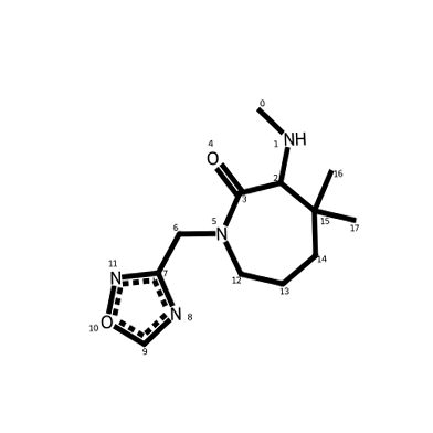 CNC1C(=O)N(Cc2ncon2)CCCC1(C)C